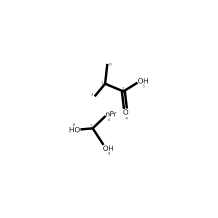 CC(C)C(=O)O.CCCC(O)O